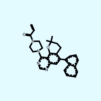 C=CC(=O)N1CCN(c2ncnc3cc(-c4cccc5ccccc45)c4c(c23)OC(C)(C)CC4)CC1